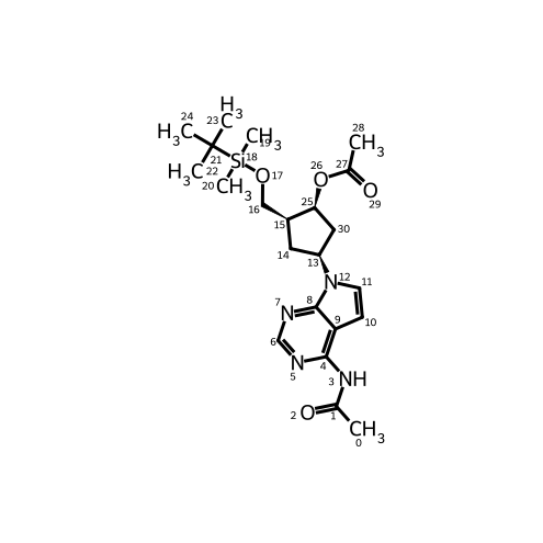 CC(=O)Nc1ncnc2c1ccn2[C@H]1C[C@@H](CO[Si](C)(C)C(C)(C)C)[C@@H](OC(C)=O)C1